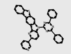 c1ccc(-c2nc(-c3ccccc3)nc(-n3c4cc5sc6ccccc6c5cc4c4nc(-c5cccnc5)ccc43)n2)cc1